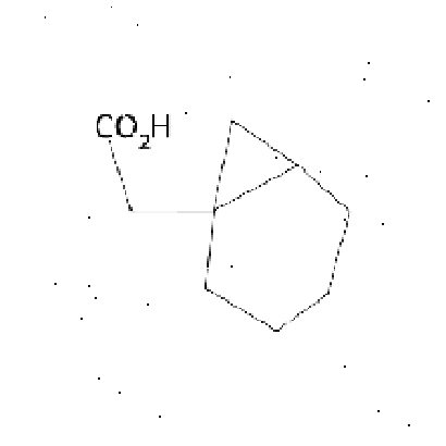 O=C(O)CC12CCCCC1C2